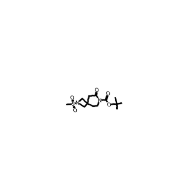 CC(C)(C)OC(=O)N1CCC2(CC1=O)CN(S(C)(=O)=O)C2